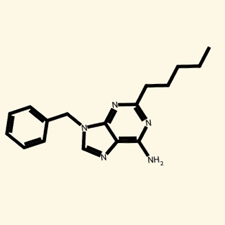 CCCCCc1nc(N)c2ncn(Cc3ccccc3)c2n1